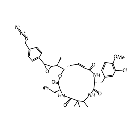 COc1ccc(C[C@H]2NC(=O)/C=C/C[C@@H]([C@H](C)C3OC3c3ccc(CN=[N+]=[N-])cc3)OC(=O)[C@H](CC(C)C)NC(=O)C(C)(C)C(C)NC2=O)cc1Cl